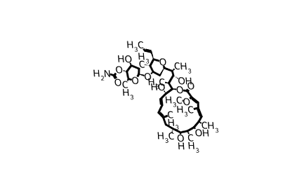 C/C=C/[C@H]1O[C@@H]([C@@H](C)[C@H](O)[C@H](C)[C@H]2OC(=O)/C(OC)=C/C(C)=C/[C@@H](C)[C@@H](O)[C@@H](C)[C@@H](O)[C@H](C)C/C(C)=C/C=C/[C@@H]2O)C[C@@H](O[C@@H]2C[C@H](O)[C@@H](OC(N)=O)[C@H](C)O2)[C@@H]1C